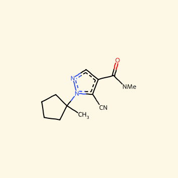 CNC(=O)c1cnn(C2(C)CCCC2)c1C#N